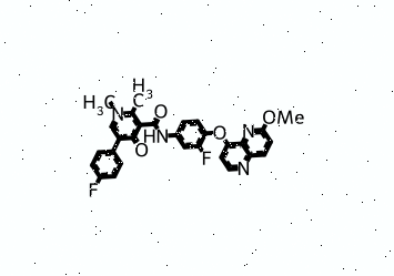 COc1ccc2nccc(Oc3ccc(NC(=O)c4c(C)n(C)cc(-c5ccc(F)cc5)c4=O)cc3F)c2n1